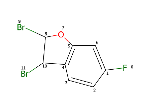 Fc1ccc2c(c1)OC(Br)C2Br